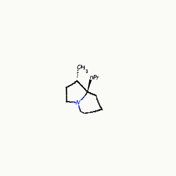 CCC[C@@]12CCCN1CC[C@@H]2C